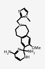 COc1cc2c(cc1C1(N)N=C(N)C=CN1)CCN(Cc1nccn1C)CC2